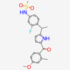 COc1ccc(C(=O)c2ccc(C(C)c3ccc(NS(C)(=O)=O)cc3F)[nH]2)c(C)c1